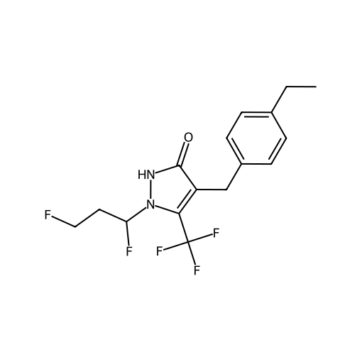 CCc1ccc(Cc2c(C(F)(F)F)n(C(F)CCF)[nH]c2=O)cc1